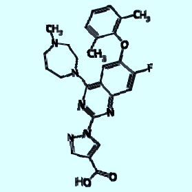 Cc1cccc(C)c1Oc1cc2c(N3CCCN(C)CC3)nc(-n3cc(C(=O)O)cn3)nc2cc1F